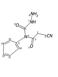 N#CCC(=O)N(C(=O)NN)c1ccccc1